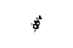 CC(C)=N/C(C)=C(\C)C1=C(F)C=C(F)CC1F